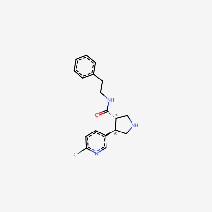 O=C(NCCc1ccccc1)[C@@H]1CNC[C@H]1c1ccc(Cl)nc1